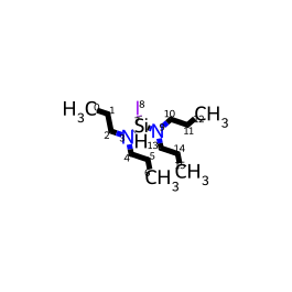 CCCN(CCC)[SiH](I)N(CCC)CCC